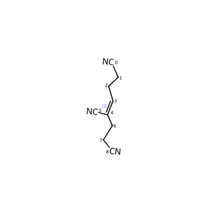 N#CCC/C=C(\C#N)CCC#N